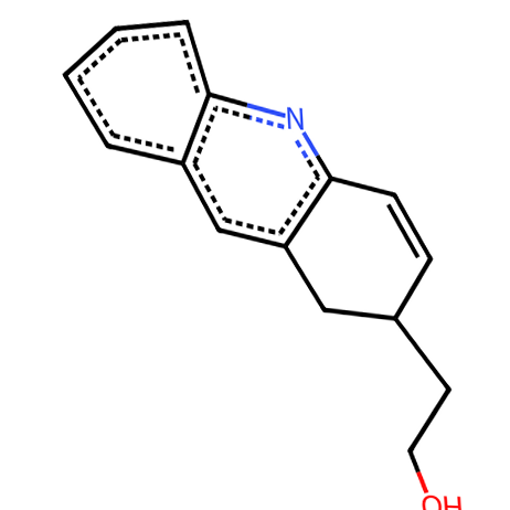 OCCC1C=Cc2nc3ccccc3cc2C1